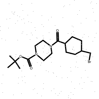 CC(C)(C)OC(=O)N1CCN(C(=O)C2CCC(CBr)CC2)CC1